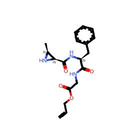 C=CCOC(=O)CNC(=O)[C@H](Cc1ccccc1)NC(=O)[C@H]1N[C@H]1C